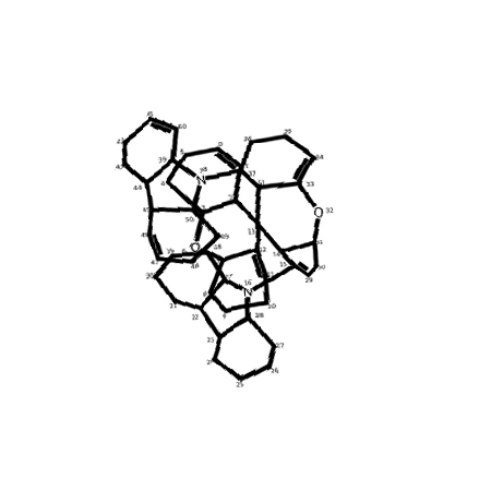 C1=CC2C(CC1)OC1CCCC=C1C21C2C(N3C4CCCCC4C4CCCCC43)=CCC2OC2=CCCC(N3C4C=CCCC4C4C=CCCC43)C21